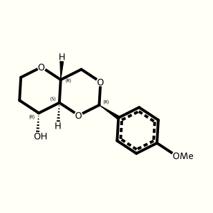 COc1ccc([C@@H]2OC[C@H]3OCC[C@@H](O)[C@@H]3O2)cc1